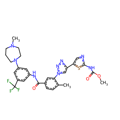 COC(=O)Nc1ncc(-c2cn(-c3cc(C(=O)Nc4cc(N5CCCN(C)CC5)cc(C(F)(F)F)c4)ccc3C)nn2)s1